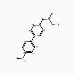 CCC(C)Cc1ccc(-c2ccc(OC)cc2)cc1